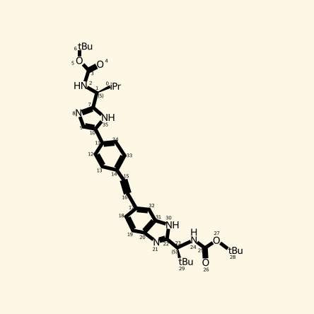 CC(C)[C@H](NC(=O)OC(C)(C)C)c1ncc(-c2ccc(C#Cc3ccc4nc([C@@H](NC(=O)OC(C)(C)C)C(C)(C)C)[nH]c4c3)cc2)[nH]1